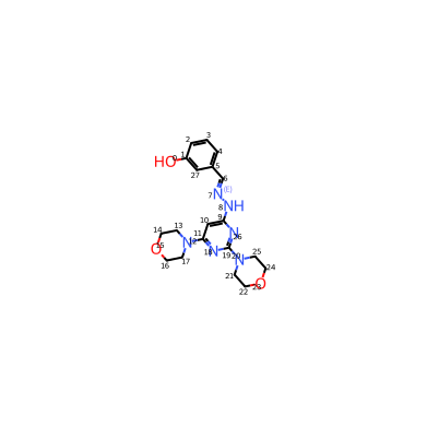 Oc1cccc(/C=N/Nc2cc(N3CCOCC3)nc(N3CCOCC3)n2)c1